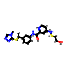 C[C@H](Sc1nncn1C)c1cccc(NC(=O)c2cc(NSCCO)ccn2)c1